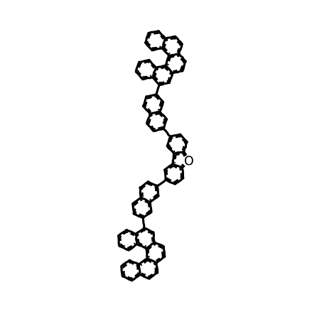 c1ccc2c(c1)ccc1ccc3cc(-c4ccc5ccc(-c6ccc7oc8ccc(-c9ccc%10ccc(-c%11cc%12ccc%13ccc%14ccccc%14c%13c%12c%12ccccc%11%12)cc%10c9)cc8c7c6)cc5c4)c4ccccc4c3c12